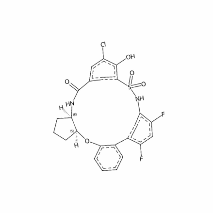 O=C1N[C@@H]2CCC[C@@H]2Oc2ccccc2-c2cc(c(F)cc2F)NS(=O)(=O)c2cc1cc(Cl)c2O